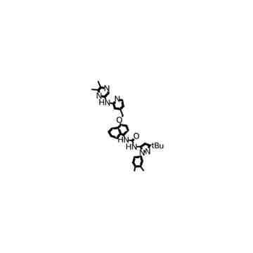 Cc1ccc(-n2nc(C(C)(C)C)cc2NC(=O)Nc2ccc(OCc3ccnc(Nc4cnc(C)c(C)n4)c3)c3ccccc23)cc1C